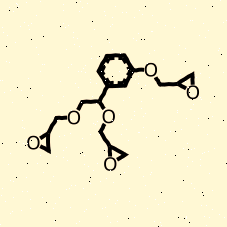 c1cc(OCC2CO2)cc(C(COCC2CO2)OCC2CO2)c1